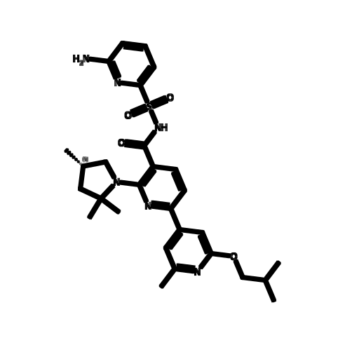 Cc1cc(-c2ccc(C(=O)NS(=O)(=O)c3cccc(N)n3)c(N3C[C@@H](C)CC3(C)C)n2)cc(OCC(C)C)n1